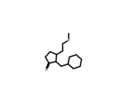 COCCC1CCC(=O)C1CC1CCCCC1